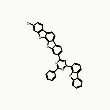 Clc1ccc2c(c1)oc1c2ccc2c3ccc(-c4nc(-c5ccccc5)nc(-c5cccc6c5oc5ccccc56)n4)cc3oc21